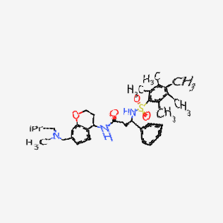 Cc1c(C)c(C)c(S(=O)(=O)NC(CC(=O)NC2CCOc3cc(CN(C)CC(C)C)ccc32)c2ccccc2)c(C)c1C